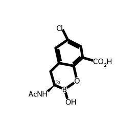 CC(=O)N[C@H]1Cc2cc(Cl)cc(C(=O)O)c2OB1O